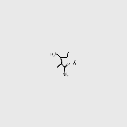 CC/C(N)=C(/C)C(N)=O.CCl